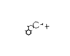 CC(C)(C)OC(=O)N1CCCC2(CC1)CC(=O)c1c(O)cccc1O2